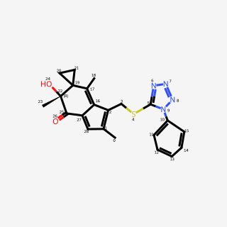 CC1=C(CSc2nnnn2-c2ccccc2)C2=C(C)C3(CC3)[C@@](C)(O)C(=O)C2=C1